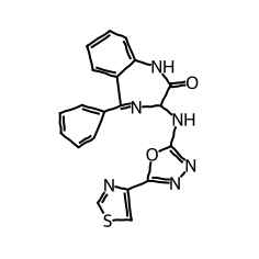 O=C1Nc2ccccc2C(c2ccccc2)=NC1Nc1nnc(-c2cscn2)o1